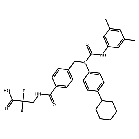 Cc1cc(C)cc(NC(=O)N(Cc2ccc(C(=O)NCC(F)(F)C(=O)O)cc2)c2ccc(C3CCCCC3)cc2)c1